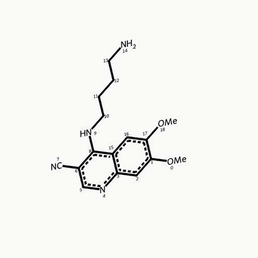 COc1cc2ncc(C#N)c(NCCCCN)c2cc1OC